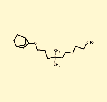 CC(C)(CCCCC[C]=O)CCCOC1CC2[CH]CC1C2